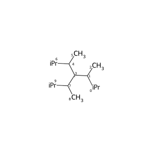 CC(C)C(C)[C](C(C)C(C)C)C(C)C(C)C